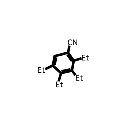 CCc1cc(C#N)c(CC)c(CC)c1CC